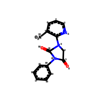 O=C1CN(c2ncccc2[N+](=O)[O-])C(=O)N1c1ccccc1